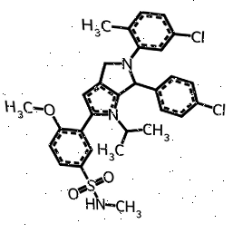 CNS(=O)(=O)c1ccc(OC)c(-c2cc3c(n2C(C)C)C(c2ccc(Cl)cc2)N(c2cc(Cl)ccc2C)C3)c1